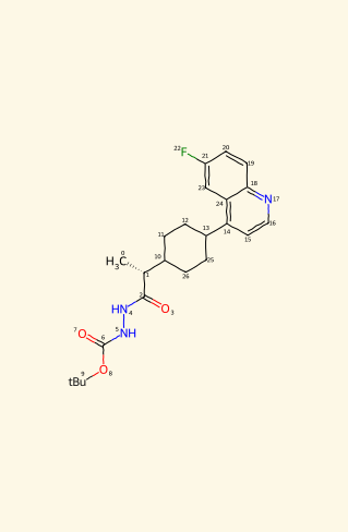 C[C@@H](C(=O)NNC(=O)OC(C)(C)C)C1CCC(c2ccnc3ccc(F)cc23)CC1